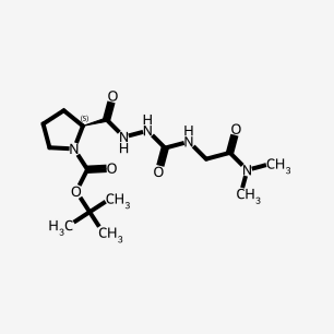 CN(C)C(=O)CNC(=O)NNC(=O)[C@@H]1CCCN1C(=O)OC(C)(C)C